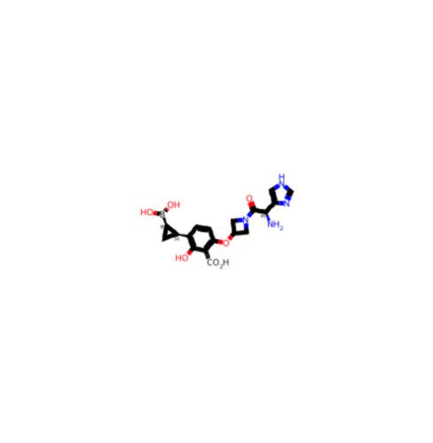 N[C@@H](C(=O)N1CC(Oc2ccc([C@H]3C[C@H]3B(O)O)c(O)c2C(=O)O)C1)c1c[nH]cn1